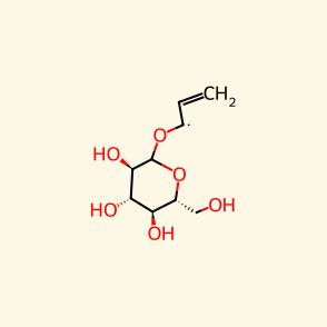 C=C[CH]OC1O[C@H](CO)[C@@H](O)[C@H](O)[C@H]1O